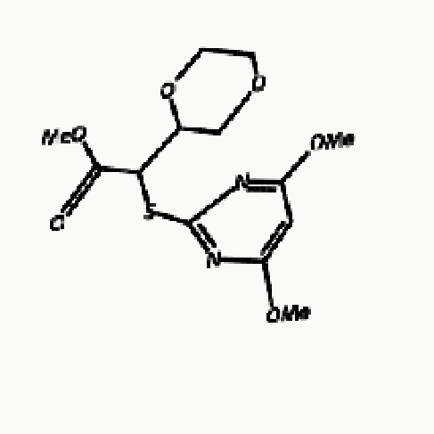 COC(=O)C(Sc1nc(OC)cc(OC)n1)C1COCCO1